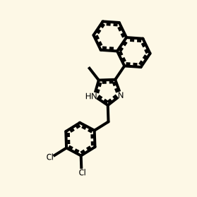 Cc1[nH]c(Cc2ccc(Cl)c(Cl)c2)nc1-c1cccc2ccccc12